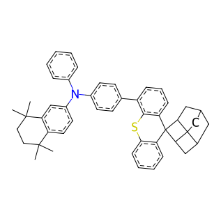 CC1(C)CCC(C)(C)c2cc(N(c3ccccc3)c3ccc(-c4cccc5c4Sc4ccccc4C54C5CC6CC7CC4C75C6)cc3)ccc21